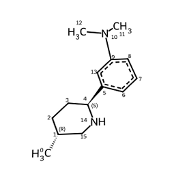 C[C@@H]1CC[C@@H](c2cccc(N(C)C)c2)NC1